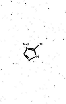 Oc1nnn[nH]1.[NaH]